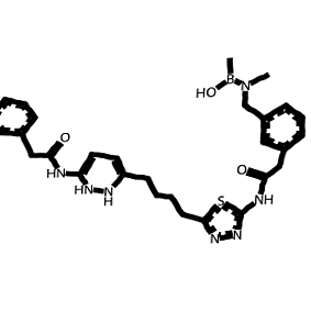 CB(O)N(C)Cc1cccc(CC(=O)Nc2nnc(CCCCC3=CC=C(NC(=O)Cc4ccccc4)NN3)s2)c1